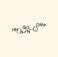 COc1cccc(C2=N/C(=C/N3CCNCC3)C(=O)O2)c1